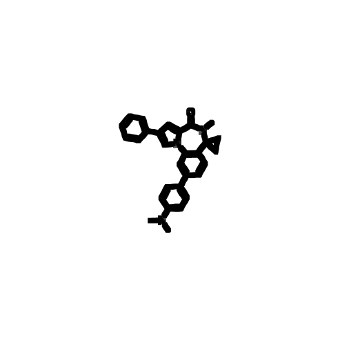 CN(C)c1ccc(-c2ccc3c(c2)-n2cc(-c4ccccc4)cc2C(=O)N(C)C32CC2)cc1